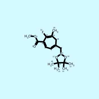 COC(=O)C1=CC=C(CB2OC(C)(C)C(C)(C)O2)CC(C)=C1F